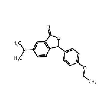 CCOc1ccc(C2OC(=O)c3cc(N(C)C)ccc32)cc1